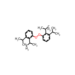 CC(C)c1cccc(OOc2cccc(C(C)C)c2C(C)C)c1C(C)C